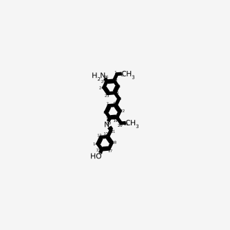 CCc1cc(Cc2ccc(/N=C/c3ccc(O)cc3)c(CC)c2)ccc1N